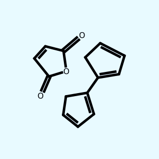 C1=CCC(C2=CC=CC2)=C1.O=C1C=CC(=O)O1